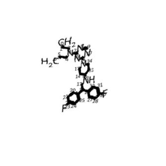 C=CCN(CC=C)c1ncnc(N2CCC(NCC(c3ccc(F)cc3)c3ccc(F)cc3)CC2)n1